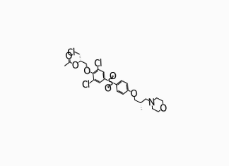 CC(=O)O[C@H](CCl)COc1c(Cl)cc(S(=O)(=O)c2ccc(OC[C@@H](C)CN3CCOCC3)cc2)cc1Cl